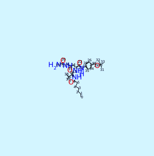 CCCCCCC(=O)N[C@H](C(=O)N[C@@H](CCCNC(N)=O)C(=O)Nc1ccc(COC(C)(C)C)cc1)C(C)C